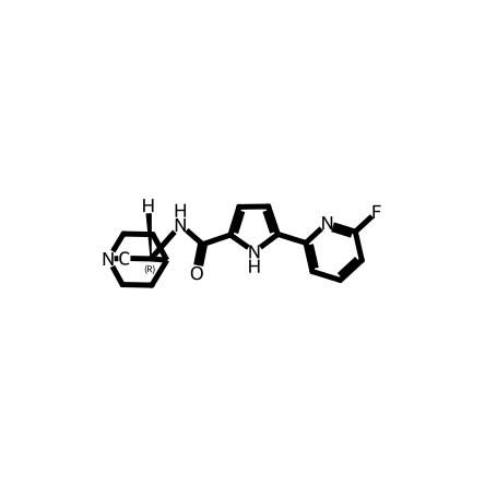 O=C(N[C@H]1CN2CCC1CC2)c1ccc(-c2cccc(F)n2)[nH]1